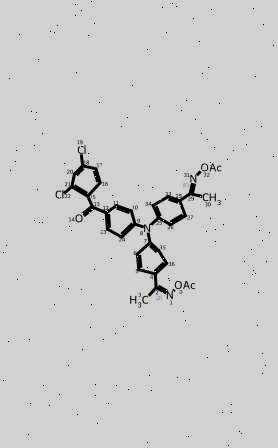 CC(=O)O/N=C(/C)c1ccc(N(c2ccc(C(=O)c3ccc(Cl)cc3Cl)cc2)c2ccc(/C(C)=N/OC(C)=O)cc2)cc1